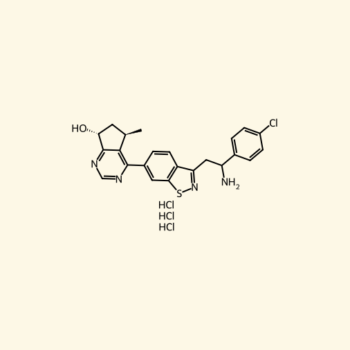 C[C@@H]1C[C@@H](O)c2ncnc(-c3ccc4c(CC(N)c5ccc(Cl)cc5)nsc4c3)c21.Cl.Cl.Cl